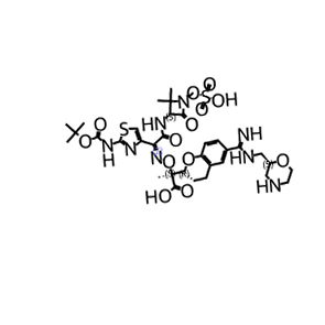 CC(C)(C)OC(=O)Nc1nc(/C(=N/O[C@](C)(C(=O)O)[C@H]2CCc3cc(C(=N)NC[C@@H]4CNCCO4)ccc3O2)C(=O)N[C@@H]2C(=O)N(OS(=O)(=O)O)C2(C)C)cs1